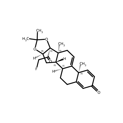 CC1(C)O[C@@H]2C[C@H]3[C@@H]4CCC5=CC(=O)C=C[C@]5(C)C4=CC[C@]3(C)[C@]2(C(=O)CF)O1